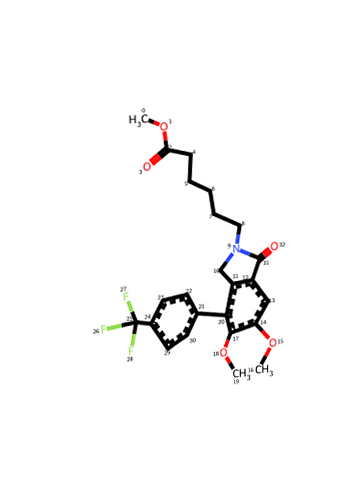 COC(=O)CCCCCN1Cc2c(cc(OC)c(OC)c2-c2ccc(C(F)(F)F)cc2)C1=O